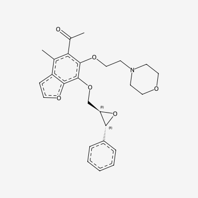 CC(=O)c1c(OCCN2CCOCC2)c(OC[C@H]2O[C@@H]2c2ccccc2)c2occc2c1C